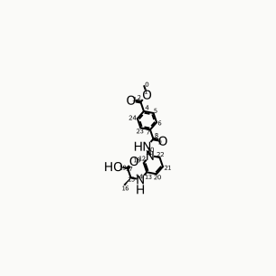 COC(=O)c1ccc(C(=O)NN2C=C(N[C@@H](C)C(=O)O)C=CC2)cc1